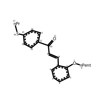 CCCCCOc1ccccc1C=CC(=O)c1ccc(SCCC)cc1